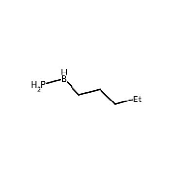 CCCCCBP